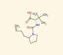 C=CCCC1CCCN1C(=O)N[C@H](C(=O)O)C(C)(C)C